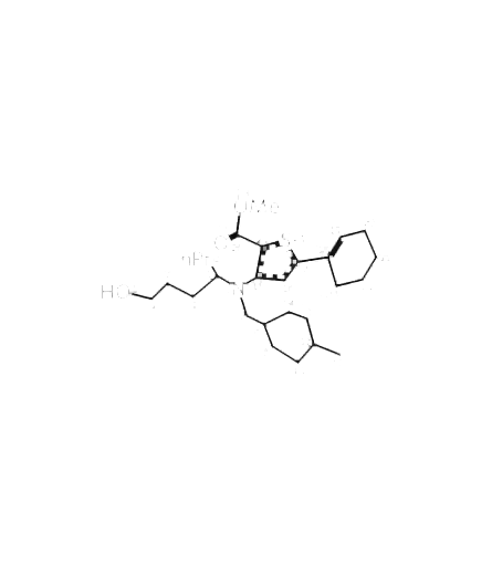 CCCC(CCCO)N(CC1CCC(C)CC1)c1cc(C2=CCCCC2)sc1C(=O)OC